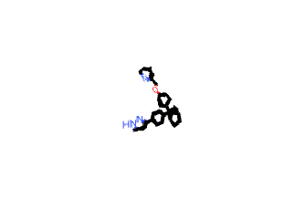 c1ccc(COc2ccc(C3(c4ccc(-c5cc[nH]n5)cc4)CC4CCC3C4)cc2)nc1